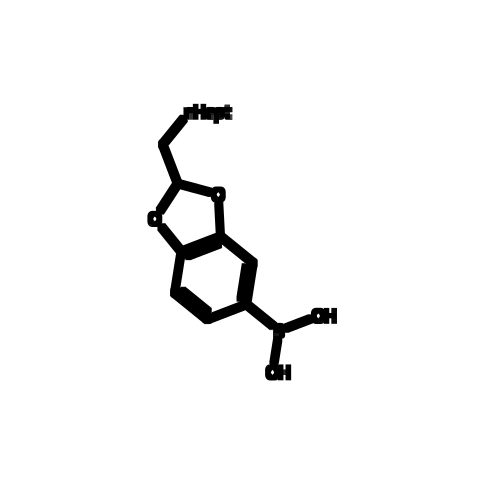 CCCCCCCCC1Oc2ccc(B(O)O)cc2O1